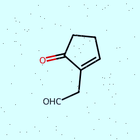 O=CCC1=CCCC1=O